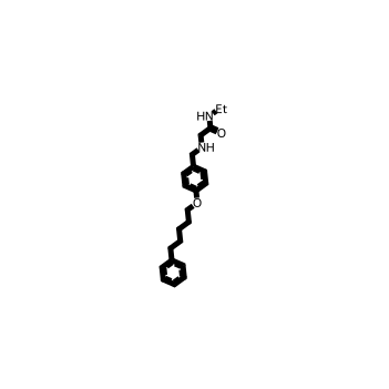 CCNC(=O)CNCc1ccc(OCCCCCc2ccccc2)cc1